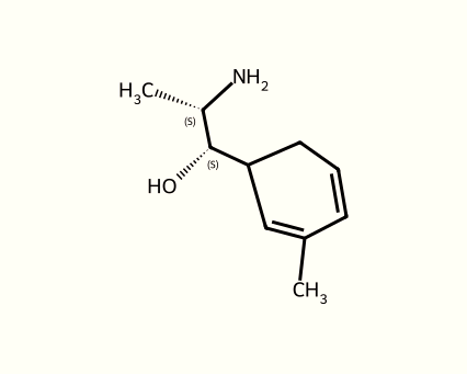 CC1=CC([C@H](O)[C@H](C)N)CC=C1